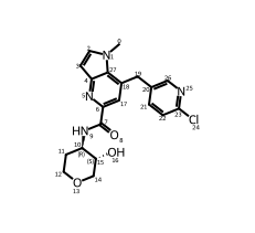 Cn1ccc2nc(C(=O)N[C@@H]3CCOC[C@H]3O)cc(Cc3ccc(Cl)nc3)c21